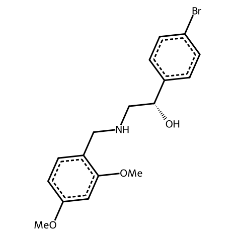 COc1ccc(CNC[C@@H](O)c2ccc(Br)cc2)c(OC)c1